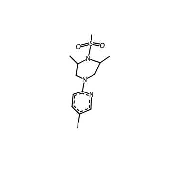 CC1CN(c2ccc(I)cn2)CC(C)N1S(C)(=O)=O